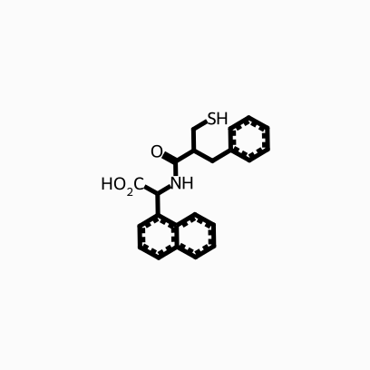 O=C(NC(C(=O)O)c1cccc2ccccc12)C(CS)Cc1ccccc1